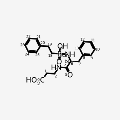 O=C(O)CCNC(=O)[C@H](Cc1ccccc1)NP(=O)(O)CCc1ccccc1